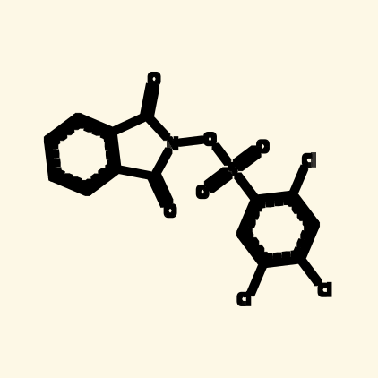 O=C1c2ccccc2C(=O)N1OS(=O)(=O)c1cc(Cl)c(Cl)cc1Cl